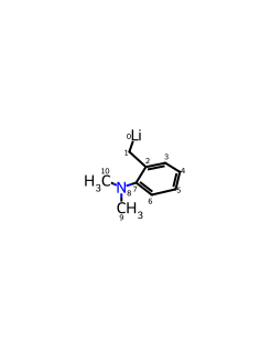 [Li][CH2]c1ccccc1N(C)C